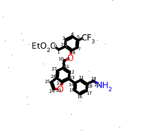 CCOC(=O)Cc1ccc(C(F)(F)F)cc1OCc1cc(-c2cccc(CN)c2)c2occc2c1